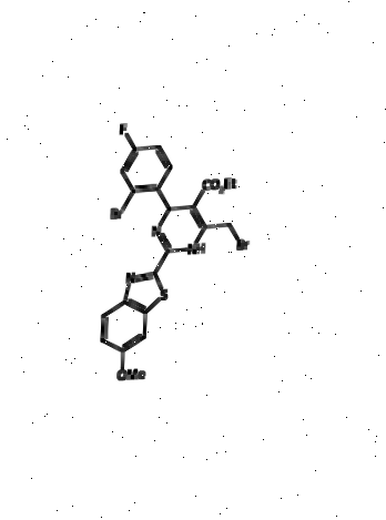 CCOC(=O)C1=C(CBr)NC(c2nc3ccc(OC)cc3s2)=NC1c1ccc(F)cc1Br